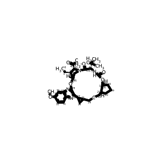 CC[C@@H]1[C@@H]2CN(C(=O)[C@H](C(C)(C)C)NC(=O)O[C@@H]3CCC[C@H]3CCCC3CC3c3nc4ccc(OC)cc4nc3O2)[C@@H]1C(C)=O